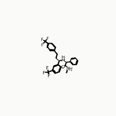 CNC(=O)[C@@H](N[C@H](CCc1ccc(C(F)(F)F)cc1)c1cccc(C(F)(F)F)c1)c1ccccc1